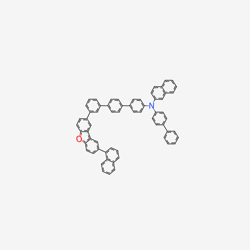 c1ccc(-c2ccc(N(c3ccc(-c4ccc(-c5cccc(-c6ccc7oc8ccc(-c9cccc%10ccccc9%10)cc8c7c6)c5)cc4)cc3)c3ccc4ccccc4c3)cc2)cc1